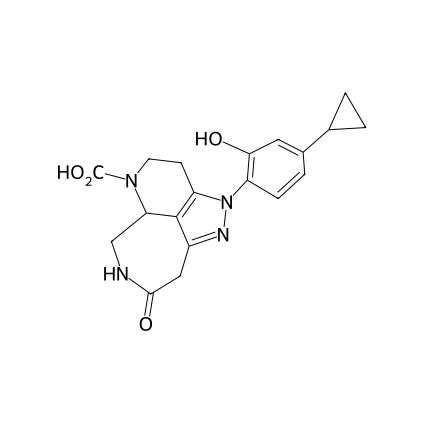 O=C1Cc2nn(-c3ccc(C4CC4)cc3O)c3c2C(CN1)N(C(=O)O)CC3